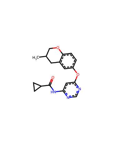 CC1COc2ccc(Oc3cc(NC(=O)C4CC4)ncn3)cc2C1